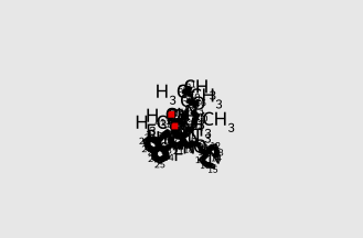 CC[C@@H]1CN2c3nc(OCC45CCCN4CCC5)nc4c(F)c(-c5cccc6ccc(F)c(C#CS(C(C)C)(C(C)C)C(C)C)c56)nc(c34)C[C@H](C)C2CN1C(=O)OC(C)(C)C